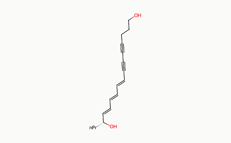 CCC[C@@H](O)/C=C/C=C/C=C/C#CC#CCCCO